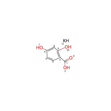 O=C(O)c1ccc(O)cc1O.[KH]